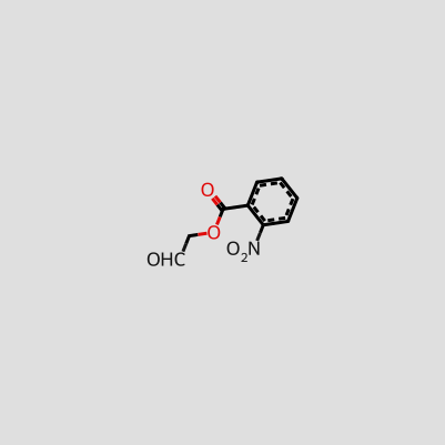 O=CCOC(=O)c1ccccc1[N+](=O)[O-]